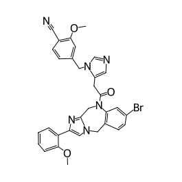 COc1cc(Cn2cncc2CC(=O)N2Cc3nc(-c4ccccc4OC)cn3Cc3ccc(Br)cc32)ccc1C#N